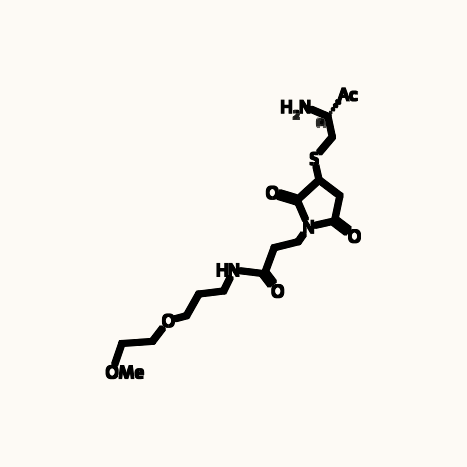 COCCOCCCNC(=O)CCN1C(=O)CC(SC[C@H](N)C(C)=O)C1=O